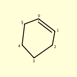 [C]1=CCCC[CH]1